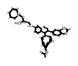 CCC(=C(c1ccc(OCC(O)CN2CCCCC2)cc1)c1ccc(OC(C)=O)cc1)c1ccc2c(c1)OCO2